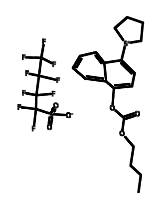 CCCCOC(=O)Oc1ccc([S+]2CCCC2)c2ccccc12.O=S(=O)([O-])C(F)(F)C(F)(F)C(F)(F)C(F)(F)F